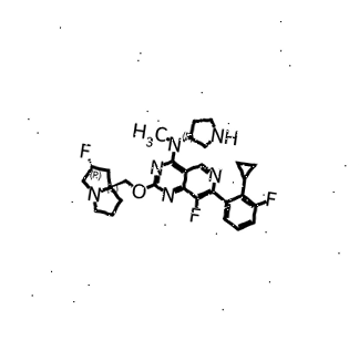 CN(c1nc(OC[C@@]23CCCN2C[C@H](F)C3)nc2c(F)c(-c3cccc(F)c3C3CC3)ncc12)[C@@H]1CCNC1